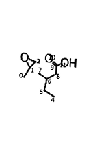 CC1CO1.CCC(C)CC(=O)O